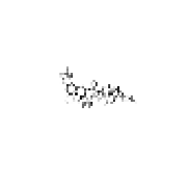 CO[C@@H]1CO[C@H]2[C@@H]1OC[C@@H]2OC(=O)C1=Cc2cc(OC(F)(F)F)cc(C)c2O[C@@H]1C(F)(F)F